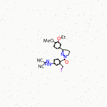 CCOc1cc(C2=NN(C(=O)c3ccc(NN=C(C#N)C#N)cc3CI)CCC2)ccc1OC